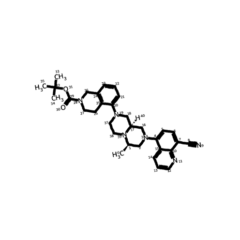 C[C@@H]1CN(c2ccc(C#N)c3ncccc23)C[C@@H]2CN(c3cccc4c3CCN(C(=O)OC(C)(C)C)C4)CCN21